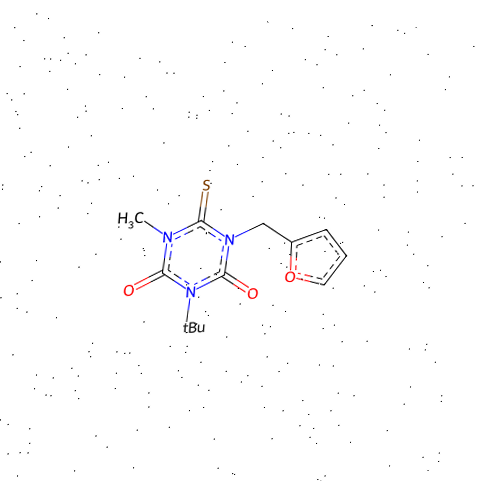 Cn1c(=S)n(Cc2ccco2)c(=O)n(C(C)(C)C)c1=O